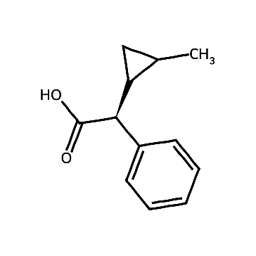 CC1CC1[C@H](C(=O)O)c1ccccc1